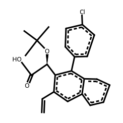 C=Cc1cc2ccccc2c(-c2ccc(Cl)cc2)c1[C@H](OC(C)(C)C)C(=O)O